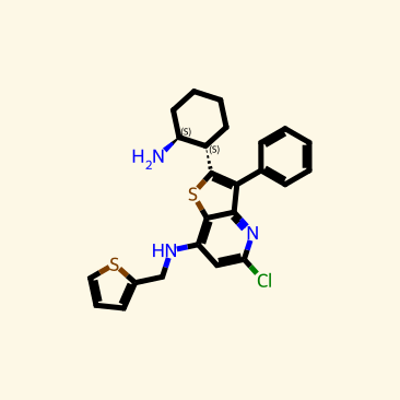 N[C@H]1CCCC[C@@H]1c1sc2c(NCc3cccs3)cc(Cl)nc2c1-c1ccccc1